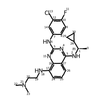 C[C@@H](Nc1nc(Nc2ccc(F)c(Cl)c2)nc2c(NCCN(C)C)cccc12)C1CC1